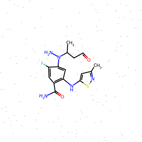 Cc1cc(Nc2cc(N(N)C(C)CC=O)c(F)cc2C(N)=O)sn1